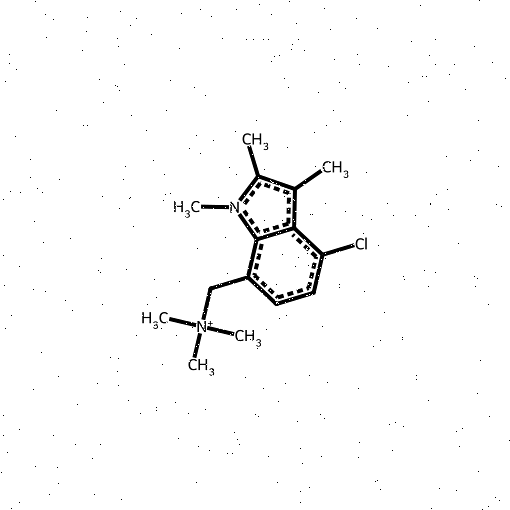 Cc1c(C)n(C)c2c(C[N+](C)(C)C)ccc(Cl)c12